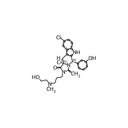 C=C1N(CCCN(C)CCO)C(=O)[C@]2(C)Cc3c([nH]c4ccc(Cl)cc34)[C@@H](c3cccc(O)c3)N12